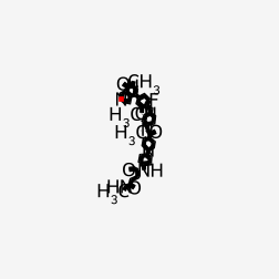 CNC(=O)CCC(C=O)Nc1ccc(N2CCC(C(=O)N(C)C3CCN(Cc4c(F)cc(-c5cn(C)c(=O)c6cnccc56)cc4OC)CC3)CC2)cc1